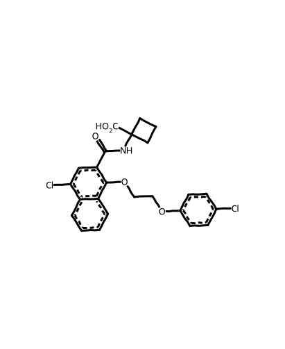 O=C(NC1(C(=O)O)CCC1)c1cc(Cl)c2ccccc2c1OCCOc1ccc(Cl)cc1